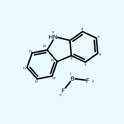 F[B]F.c1ccc2c(c1)[nH]c1ccccc12